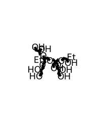 CCC(O)COCC(CO)(COCC(CC)(COCC(O)CO)OCC(O)CO)OCC(O)CO